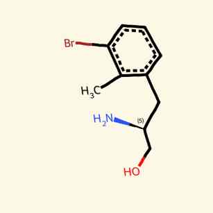 Cc1c(Br)cccc1C[C@H](N)CO